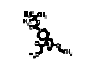 CCOC(=O)CC1(OC(=O)CC)CCN(C(=O)OC(C)(C)C)CC1